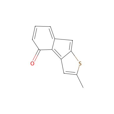 Cc1cc2c(s1)=CC1=CC=CC(=O)C=21